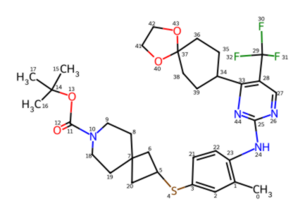 Cc1cc(SC2CC3(CCN(C(=O)OC(C)(C)C)CC3)C2)ccc1Nc1ncc(C(F)(F)F)c(C2CCC3(CC2)OCCO3)n1